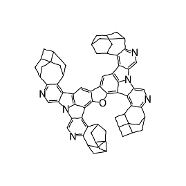 c1c2c3cc4c5c6c(ncc5n5c7cnc8c(c7c(c3oc2c2c3c7c(ncc3n3c9cnc%10c(c9c1c23)C1CC2CC3CC%10CC32C1)C1CC2CC3CC7CC23C1)c45)C1CC2CC3CC8CC321)C1CC2CC(C1)CC6C2